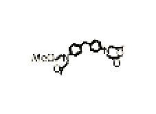 COCCN(CC1CO1)c1ccc(Cc2ccc(N(CC3CO3)CC3CO3)cc2)cc1